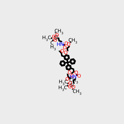 CCOCC(COc1ccc(C(c2ccccc2)(c2ccccc2)c2ccc(OCC3CO3)c(CC(COCC)OC(=O)NCCC[Si](OCC)(OCC)OCC)c2)cc1CC1CO1)OC(=O)NCCC[Si](OCC)(OCC)OCC